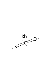 O=C=S.[Rh]